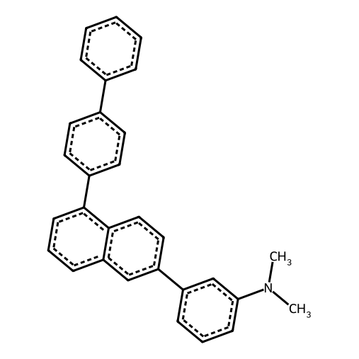 CN(C)c1cccc(-c2ccc3c(-c4ccc(-c5ccccc5)cc4)cccc3c2)c1